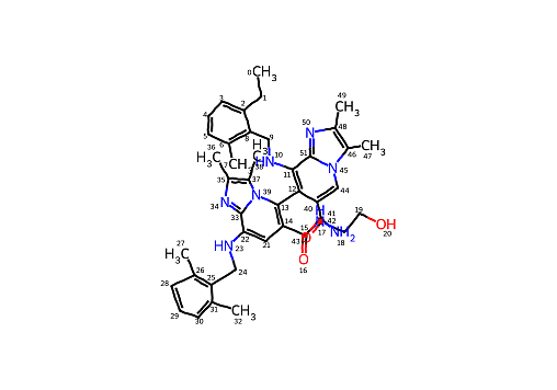 CCc1cccc(C)c1CNc1c(-c2c(C(=O)NCCO)cc(NCc3c(C)cccc3C)c3nc(C)c(C)n23)c(C(N)=O)cn2c(C)c(C)nc12